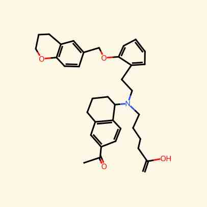 C=C(O)CCCCN(CCc1ccccc1OCc1ccc2c(c1)CCCO2)C1CCCc2cc(C(C)=O)ccc21